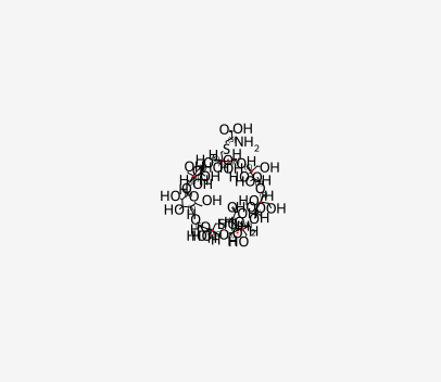 N[C@H](CSCC1O[C@@H]2O[C@@H]3C(CO)O[C@@H](O[C@@H]4C(CO)O[C@@H](O[C@@H]5C(CSC[C@@H](N)C(=O)O)O[C@@H](O[C@@H]6C(CO)O[C@@H](O[C@@H]7C(CO)O[C@H](O[C@@H]8C(CO)O[C@H](O[C@H]1[C@H](O)C2O)C(O)C8O)C(O)C7O)C(O)C6O)C(O)[C@H]5O)C(O)[C@H]4O)C(O)C3O)C(=O)O